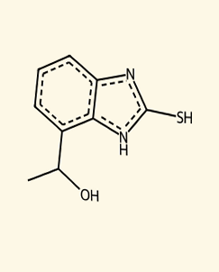 CC(O)c1cccc2nc(S)[nH]c12